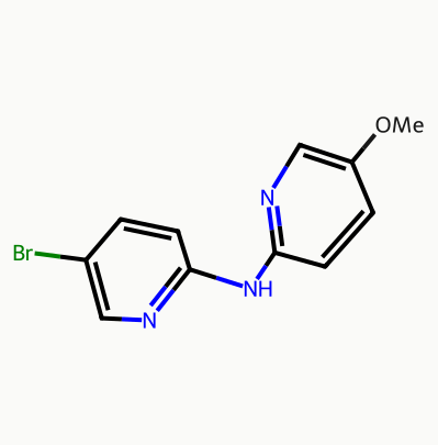 COc1ccc(Nc2ccc(Br)cn2)nc1